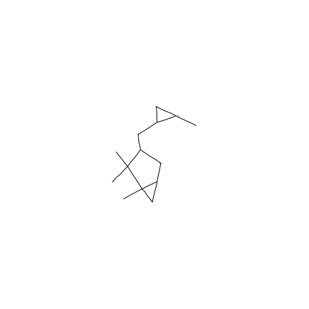 C[C]1CC1CC1CC2CC2(C)C1(C)C